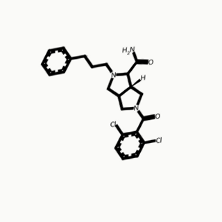 NC(=O)C1[C@@H]2CN(C(=O)c3c(Cl)cccc3Cl)CC2CN1CC[CH]c1ccccc1